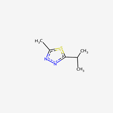 Cc1nnc(C(C)C)s1